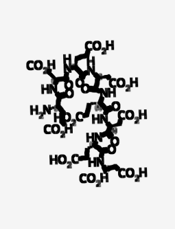 N[C@@H](CCC(=O)O)C(=O)N[C@@H](CC(=O)O)C(=O)N[C@@H](CCC(=O)O)C(=O)N[C@@H](CC(=O)O)C(=O)N[C@@H](CCC(=O)O)C(=O)N[C@@H](CC(=O)O)C(=O)N[C@@H](CCC(=O)O)C(=O)N[C@@H](CC(=O)O)C(=O)O